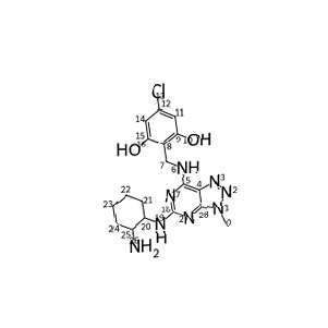 Cn1nnc2c(NCc3c(O)cc(Cl)cc3O)nc(NC3CCCCC3N)nc21